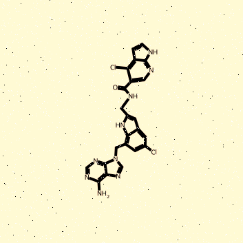 Nc1ncnc2c1ncn2Cc1cc(Cl)cc2cc(CNC(=O)c3cnc4[nH]ccc4c3Cl)[nH]c12